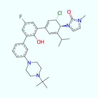 CC(C)C1=CC(c2cc(F)cc(-c3cccc(N4CCN(C(C)(C)C)CC4)c3)c2O)=C[C@H](Cl)[C@H]1n1ccn(C)c1=O